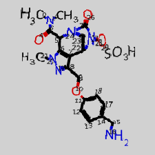 CN(C)C(=O)C1c2c(c(COc3ccc(CN)cc3)nn2C)C2CN1C(=O)N2OS(=O)(=O)O